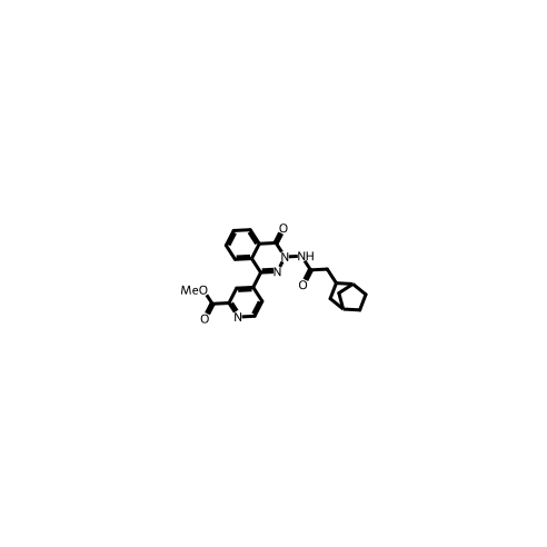 COC(=O)c1cc(-c2nn(NC(=O)CC3CC4CCC3C4)c(=O)c3ccccc23)ccn1